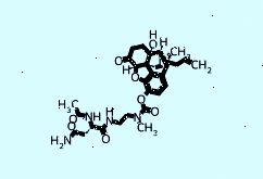 C=CC[N+]1(C)CC[C@]23c4c5ccc(OC(=O)N(C)CCNC(=O)[C@H](CC(N)=O)NC(C)=O)c4O[C@H]2C(=O)CC[C@@]3(O)[C@H]1C5